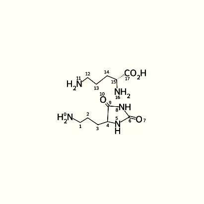 NCCCC1NC(=O)NC1=O.NCCC[C@@H](N)C(=O)O